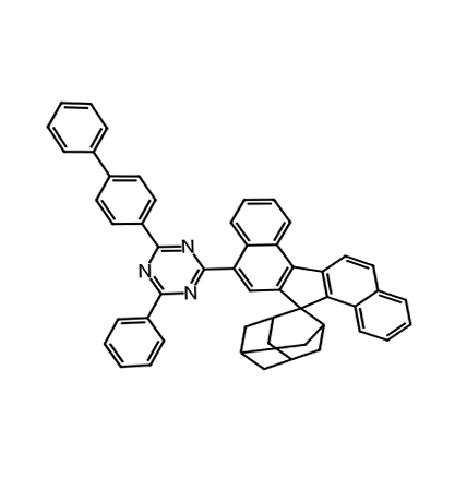 c1ccc(-c2ccc(-c3nc(-c4ccccc4)nc(-c4cc5c(c6ccccc46)-c4ccc6ccccc6c4C54C5CC6CC(C5)CC4C6)n3)cc2)cc1